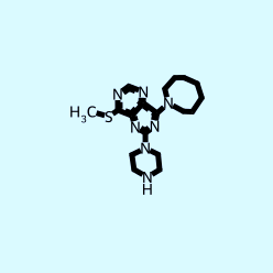 CSc1ncnc2c(N3CCCCCCC3)nc(N3CCNCC3)nc12